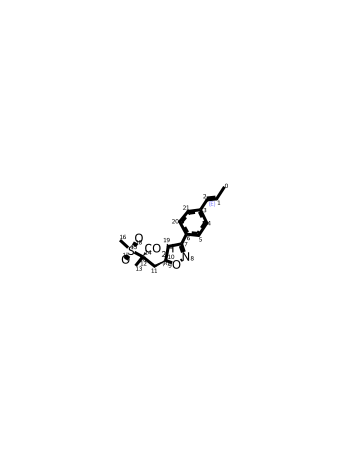 C/C=C/c1ccc(C2=NO[C@@H](C[C@](C)(C(=O)O)S(C)(=O)=O)C2)cc1